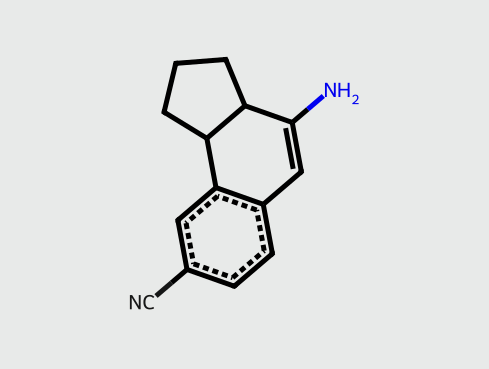 N#Cc1ccc2c(c1)C1CCCC1C(N)=C2